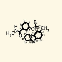 CNC(=O)c1cccc(OC(F)F)c1[C@H]1CCc2nc3ccc(C)cc3n21